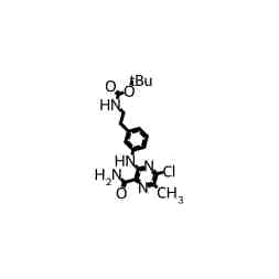 Cc1nc(C(N)=O)c(Nc2cccc(CCNC(=O)OC(C)(C)C)c2)nc1Cl